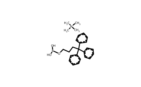 C[N+](C)(C)C.OB(O)OCCCC(c1ccccc1)(c1ccccc1)c1ccccc1